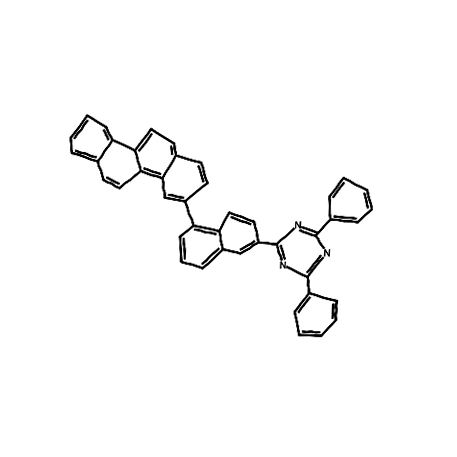 c1ccc(-c2nc(-c3ccccc3)nc(-c3ccc4c(-c5ccc6ccc7c8ccccc8ccc7c6c5)cccc4c3)n2)cc1